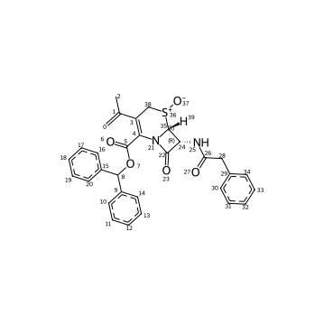 C=C(C)C1=C(C(=O)OC(c2ccccc2)c2ccccc2)N2C(=O)[C@@H](NC(=O)Cc3ccccc3)[C@H]2[S+]([O-])C1